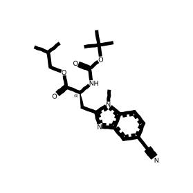 CC(C)COC(=O)[C@H](Cc1nc2cc(C#N)ccc2n1C)NC(=O)OC(C)(C)C